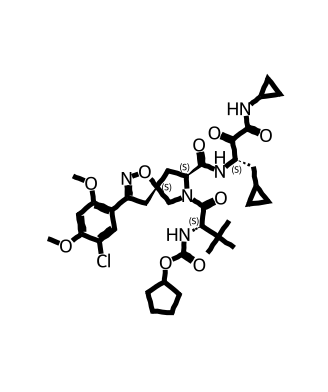 COc1cc(OC)c(C2=NO[C@]3(C2)C[C@@H](C(=O)N[C@@H](CC2CC2)C(=O)C(=O)NC2CC2)N(C(=O)[C@@H](NC(=O)OC2CCCC2)C(C)(C)C)C3)cc1Cl